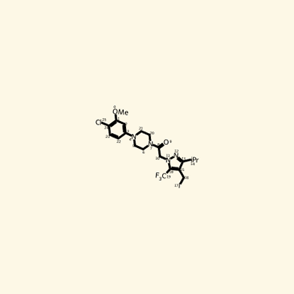 COc1cc(N2CCN(C(=O)Cn3nc(C(C)C)c(CI)c3C(F)(F)F)CC2)ccc1Cl